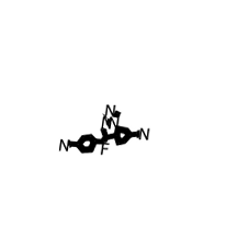 N#Cc1ccc(/C(F)=C(\Cn2cncn2)c2ccc(C#N)cc2)cc1